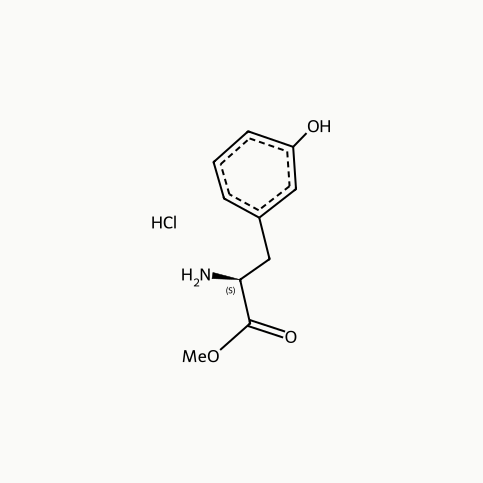 COC(=O)[C@@H](N)Cc1cccc(O)c1.Cl